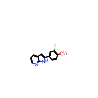 Oc1ccc(-c2cc3cccnc3[nH]2)cc1F